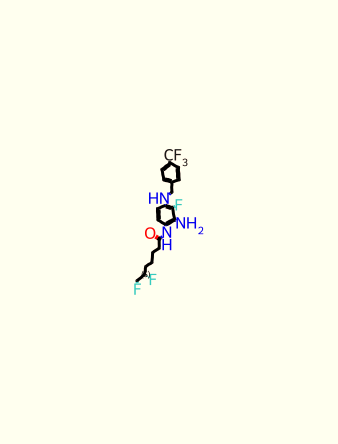 Nc1c(NC(=O)CCCC[C@H](F)CF)ccc(NCc2ccc(C(F)(F)F)cc2)c1F